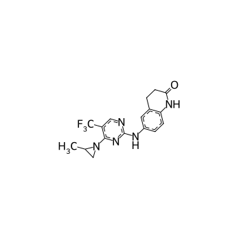 CC1CN1c1nc(Nc2ccc3c(c2)CCC(=O)N3)ncc1C(F)(F)F